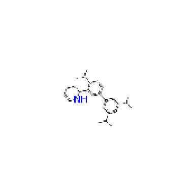 CC(C)c1cc(-c2ccc(C(C)C)c(C3C=CC=CN3)c2)cc(C(C)C)c1